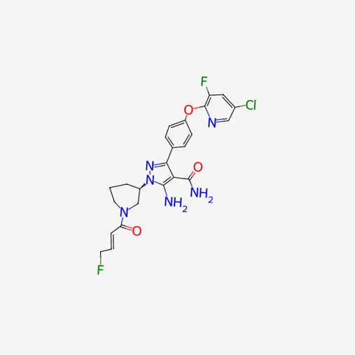 NC(=O)c1c(-c2ccc(Oc3ncc(Cl)cc3F)cc2)nn([C@@H]2CCCN(C(=O)C=CCF)C2)c1N